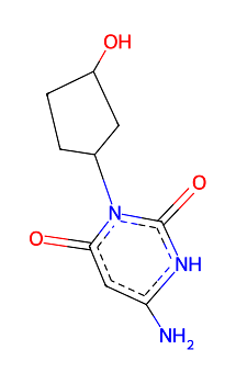 Nc1cc(=O)n(C2CCC(O)C2)c(=O)[nH]1